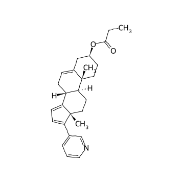 CCC(=O)O[C@H]1CC[C@@]2(C)C(=CC[C@H]3C4=CC=C(c5cccnc5)[C@@]4(C)CC[C@@H]32)C1